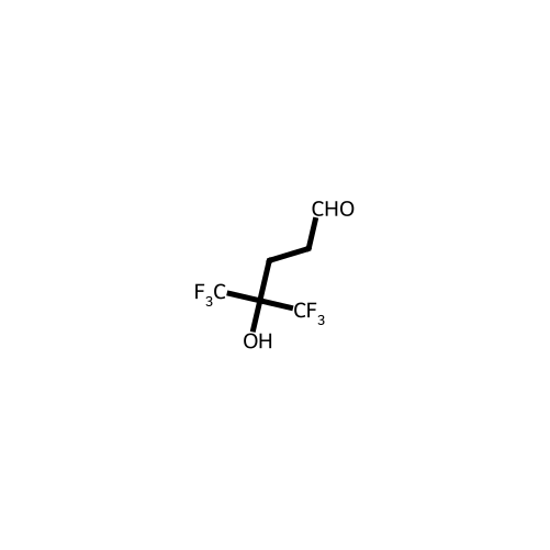 O=CCCC(O)(C(F)(F)F)C(F)(F)F